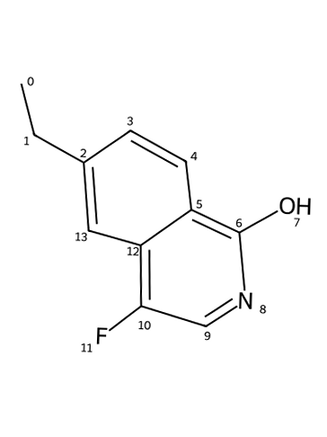 CCc1ccc2c(O)ncc(F)c2c1